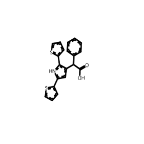 O=C(O)C(c1ccccc1)c1cc(-c2cccs2)[nH]c1-c1cccs1